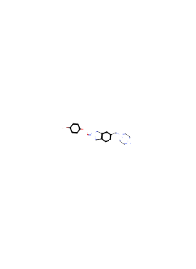 O=C(Oc1ccc(Br)cc1)N1Cc2ccc(CN3CCNCC3)cc2C1